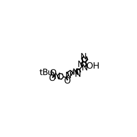 CC(C)(C)OC(=O)N1CCC(C(=O)N2CC[C@H](n3cc(-c4nc(O)c5ccncc5n4)cn3)C2)CC1